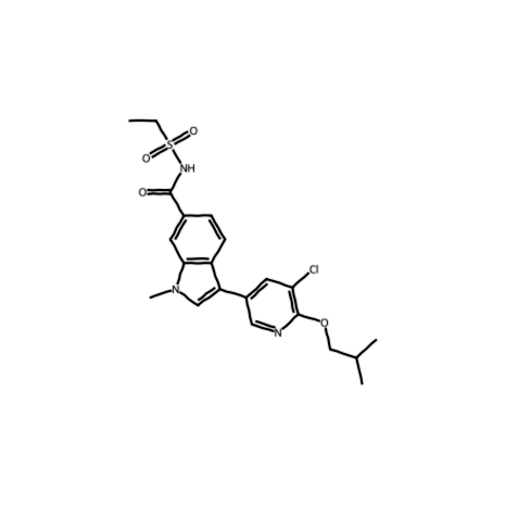 CCS(=O)(=O)NC(=O)c1ccc2c(-c3cnc(OCC(C)C)c(Cl)c3)cn(C)c2c1